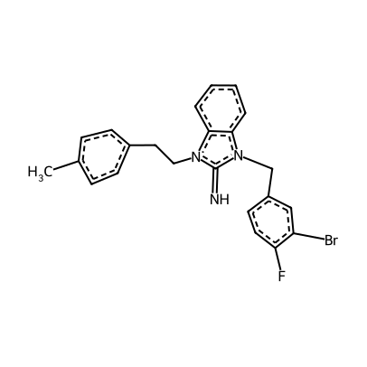 Cc1ccc(CCn2c(=N)n(Cc3ccc(F)c(Br)c3)c3ccccc32)cc1